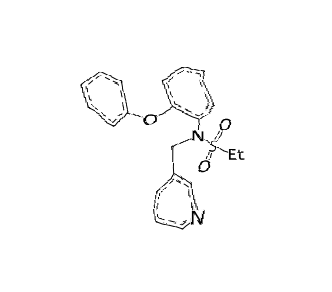 CCS(=O)(=O)N(Cc1cccnc1)c1ccccc1Oc1ccccc1